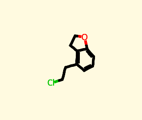 ClCCc1cccc2c1CCO2